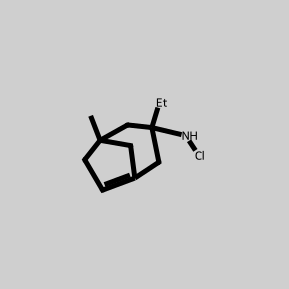 CCC1(NCl)CC2=CCC(C)(C2)C1